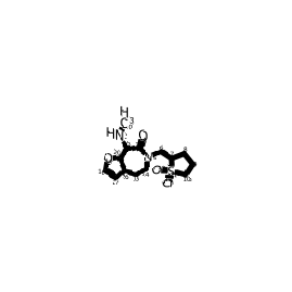 CNC1C(=O)N(CC2CCCS2(=O)=O)CCC2C=COC21